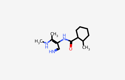 CN/C(C)=C(\C=N)NC(=O)C1CCCCC1C